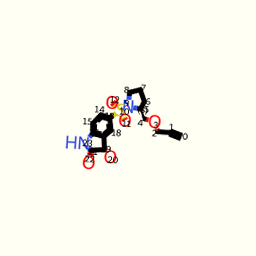 C#CCOC[C@@H]1CCCN1S(=O)(=O)c1ccc2c(c1)C(=O)C(=O)N2